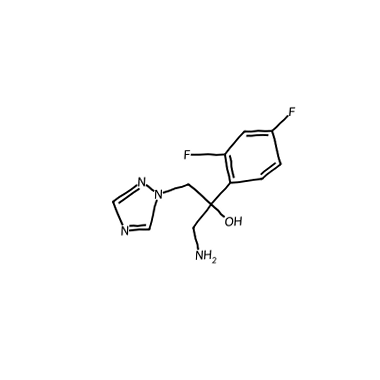 NCC(O)(Cn1cncn1)c1ccc(F)cc1F